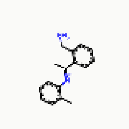 C/C(=N\c1ccccc1C)c1ccccc1CN